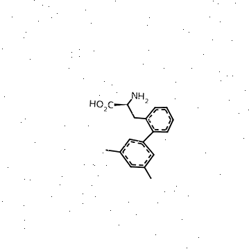 Cc1cc(C)cc(-c2ccccc2C[C@H](N)C(=O)O)c1